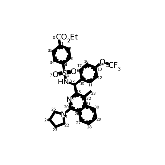 CCOC(=O)c1ccc(S(=O)(=O)NC(c2ccc(OC(F)(F)F)cc2)c2nc(N3CCCC3)c3ccccc3c2C)cc1